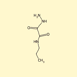 CCCNC(=O)C(=O)NN